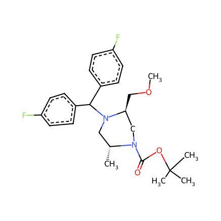 COC[C@H]1CN(C(=O)OC(C)(C)C)[C@H](C)CN1C(c1ccc(F)cc1)c1ccc(F)cc1